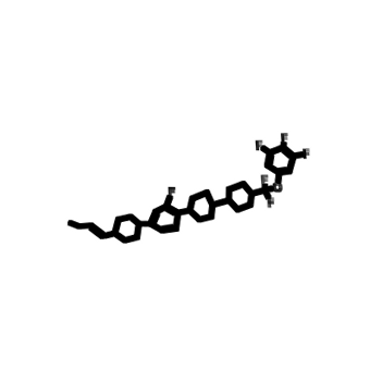 CC/C=C/C1CCC(c2ccc(C3CCC(C4CCC(C(F)(F)Oc5cc(F)c(F)c(F)c5)CC4)CC3)c(F)c2)CC1